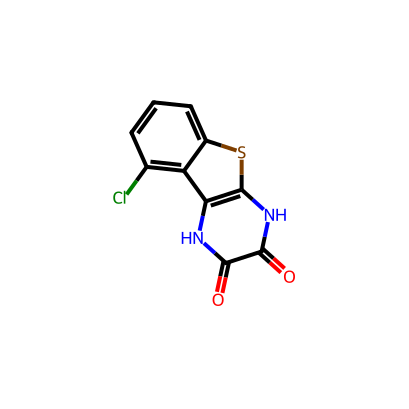 O=c1[nH]c2sc3cccc(Cl)c3c2[nH]c1=O